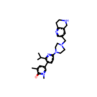 Cc1cc(-c2ccc(N3CCN(Cc4cnc5c(c4)CNCC5)CC3)nc2C(C)C)cn(C)c1=O